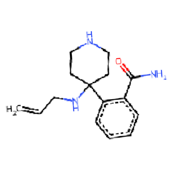 C=CCNC1(c2ccccc2C(N)=O)CCNCC1